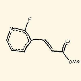 COC(=O)C=Cc1cccnc1F